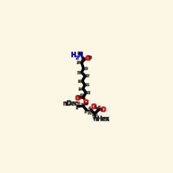 CCCCCCCCCCCC(C[C@@H]1OC(=O)[C@H]1CCCCCC)OC(=O)CCCCCCCCC(N)=O